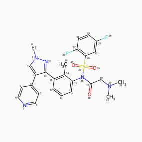 CCn1cc(-c2ccncc2)c(-c2cccc(N(C(=O)CN(C)C)S(=O)(=O)c3cc(F)ccc3F)c2C)n1